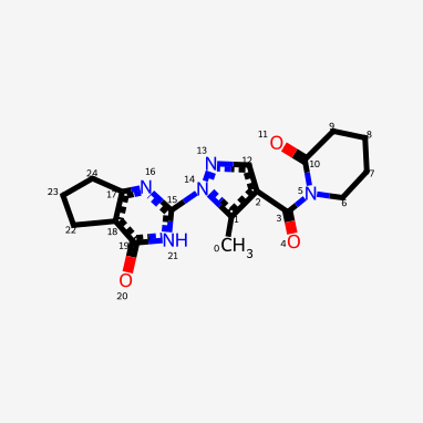 Cc1c(C(=O)N2CCCCC2=O)cnn1-c1nc2c(c(=O)[nH]1)CCC2